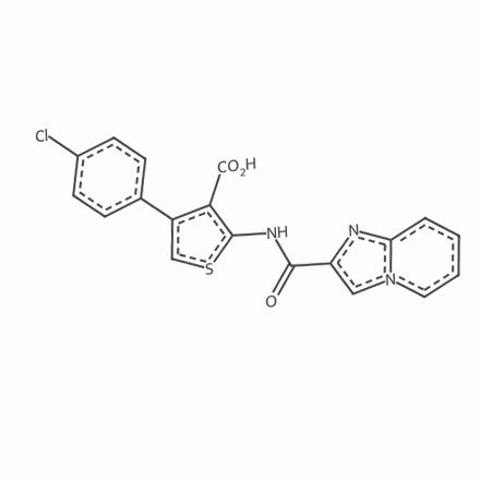 O=C(Nc1scc(-c2ccc(Cl)cc2)c1C(=O)O)c1cn2ccccc2n1